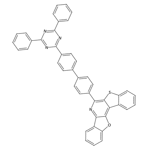 c1ccc(-c2nc(-c3ccccc3)nc(-c3ccc(-c4ccc(-c5nc6c7ccccc7oc6c6c5sc5ccccc56)cc4)cc3)n2)cc1